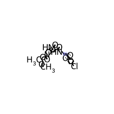 COCC(C)OC(=O)N1CCc2[nH]c(=O)c(C(=O)NC/C=C/S(=O)(=O)c3ccc(Cl)cc3)cc2C1